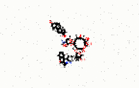 CC[C@H]1OC(=O)[C@H](C)[C@@H](O[C@H]2C[C@@](C)(OC)[C@@H](O)[C@H](C)O2)[C@H](C)[C@@H](O[C@@H]2O[C@H](C)C[C@H](N(C)C)[C@H]2O)[C@](C)(O)C[C@@H](C)C(=O)[C@H](C)[C@@H](O)[C@]1(C)O.COC(=O)C1=C(C)NC(C)=C(C(=O)OC)C1c1ccccc1[N+](=O)[O-].C[C@]12CC[C@H]3[C@@H](CCC4=CC(=O)CC[C@@]43C)[C@@H]1CC[C@@H]2O